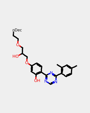 CCCCCCCCCCCCOCC(O)COc1ccc(-c2ncnc(-c3ccc(C)cc3C)n2)c(O)c1